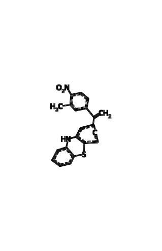 C=C(c1ccc([N+](=O)[O-])c(C)c1)c1ccc2c(c1)Nc1ccccc1S2